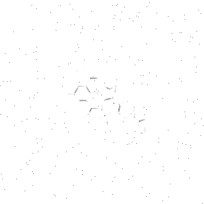 [2H]C([2H])([2H])n1c(=O)c2cc(C)cc(C(C)=O)c2n2cnc(C3=CCN(C(C)=O)CC3)c12